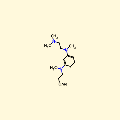 COCCN(C)C1=CC(N(C)CCN(C)C)=CC[CH]1